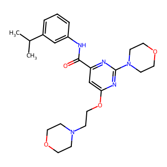 CC(C)c1cccc(NC(=O)c2cc(OCCN3CCOCC3)nc(N3CCOCC3)n2)c1